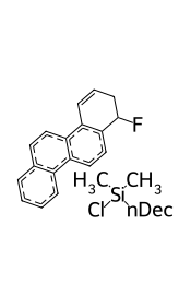 CCCCCCCCCC[Si](C)(C)Cl.FC1CC=Cc2c1ccc1c2ccc2ccccc21